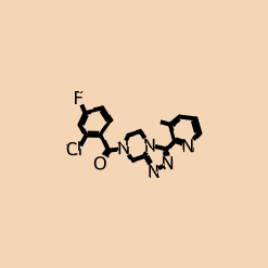 Cc1cccnc1-c1nnc2n1CCN(C(=O)c1ccc(F)cc1Cl)C2